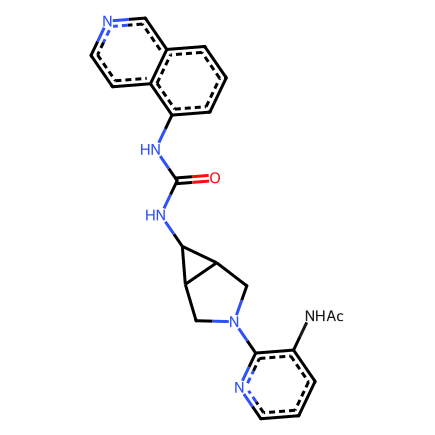 CC(=O)Nc1cccnc1N1CC2C(C1)C2NC(=O)Nc1cccc2cnccc12